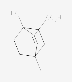 CC12C=C(C(=O)O)C(O)(CC1)CC2